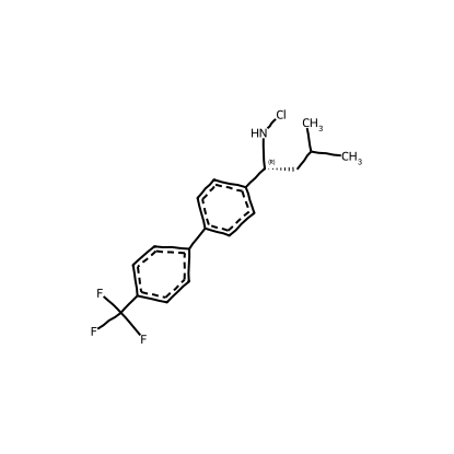 CC(C)C[C@@H](NCl)c1ccc(-c2ccc(C(F)(F)F)cc2)cc1